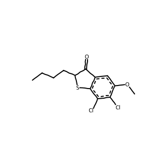 CCCCC1Sc2c(cc(OC)c(Cl)c2Cl)C1=O